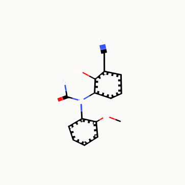 COc1ccccc1N(C(N)=O)c1cccc(C#N)c1O